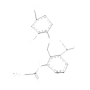 CCc1ccc(OCc2c(NC(=O)OC)cccc2C(F)F)c(C(F)(F)F)c1